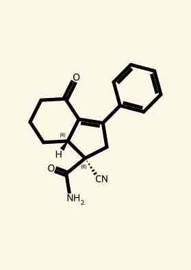 N#C[C@@]1(C(N)=O)CC(c2ccccc2)=C2C(=O)CCC[C@H]21